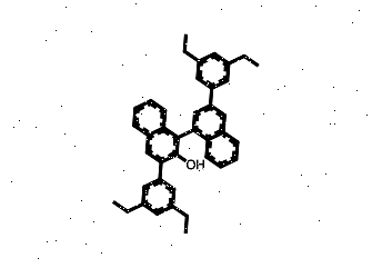 CCc1cc(CC)cc(-c2cc(-c3c(O)c(-c4cc(CC)cc(CC)c4)cc4ccccc34)c3ccccc3c2)c1